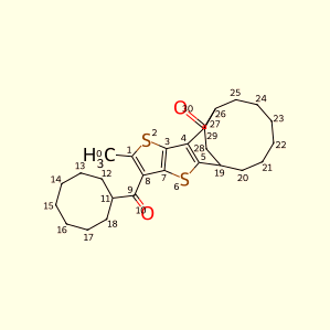 Cc1sc2c3c(sc2c1C(=O)C1CCCCCCC1)C1CCCCCCC(CC1)C3=O